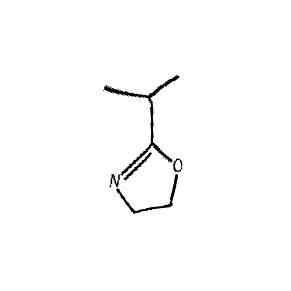 CC(C)C1=NCCO1